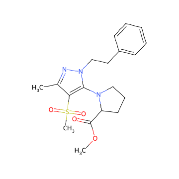 COC(=O)C1CCCN1c1c(S(C)(=O)=O)c(C)nn1CCc1ccccc1